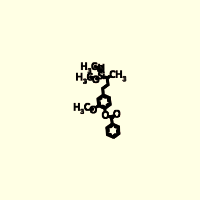 COc1cc(CCC(C)[SiH](OC)OC)ccc1OC(=O)c1ccccc1